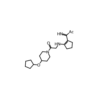 CC(=O)C(=N)C1=C(NCC(=O)N2CCC(OC3CCCC3)CC2)CCC1